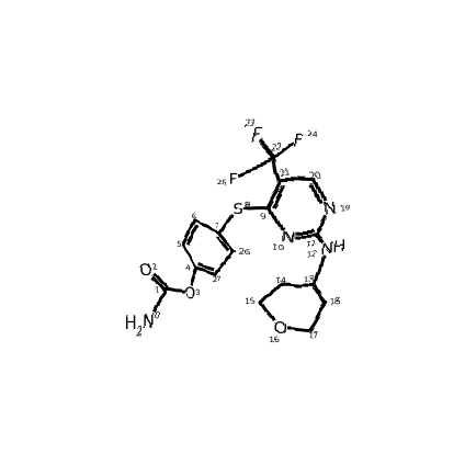 NC(=O)Oc1ccc(Sc2nc(NC3CCOCC3)ncc2C(F)(F)F)cc1